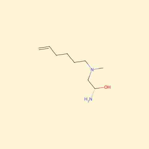 C=CCCCCN(C)C[C@@H](N)O